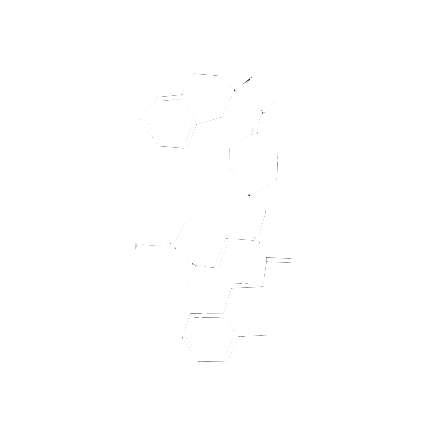 CC(C)N(C)C(=O)c1cn(CC2(O)CCN(C(=O)[C@@]3(C)CCc4ccccc4C3)CC2)c(=O)cc1-c1ccccc1F